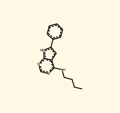 CCCCNc1ncnc2[nH]c(-c3ccccc3)cc12